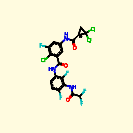 O=C(Nc1ccc(F)c(NC(=O)C(F)F)c1F)c1cc(NC(=O)[C@H]2CC2(Cl)Cl)cc(F)c1Cl